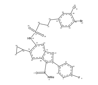 CNC(=O)c1c(-c2ccc(F)cc2)oc2cc(NS(=O)(=O)CCCc3ccc(Br)c(C(F)(F)F)c3)c(C3CC3)cc12